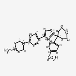 CN1CCN(c2ccc(-c3csc(C4(c5ccc(C(=O)O)cc5)CCOCC4)n3)cn2)CC1